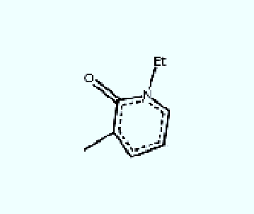 CCn1c[c]cc(C)c1=O